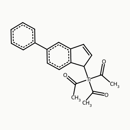 C[C](=O)[Ti]([C](C)=O)([C](C)=O)[CH]1C=Cc2cc(-c3ccccc3)ccc21